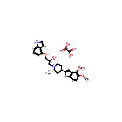 COc1ccc2sc([C@@H]3CCN(C[C@H](O)COc4cccc5[nH]ccc45)[C@@H](C)C3)cc2c1OC.O=C(O)C(=O)O